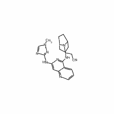 Cn1cnc(Nc2cc3ncccc3c(NC3CC4CCC(C3)N4CCC#N)n2)n1